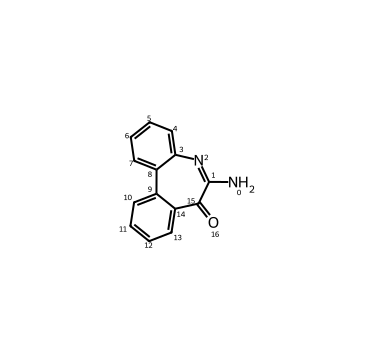 Nc1nc2ccccc2c2ccccc2c1=O